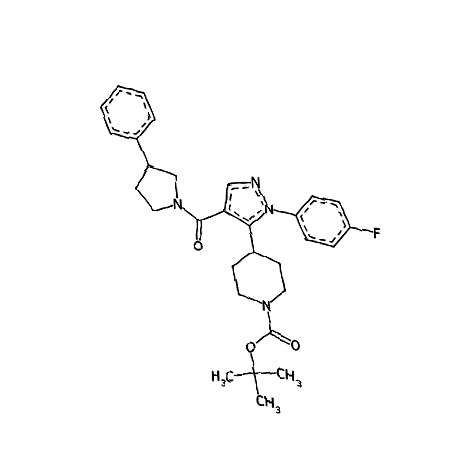 CC(C)(C)OC(=O)N1CCC(c2c(C(=O)N3CCC(c4ccccc4)C3)cnn2-c2ccc(F)cc2)CC1